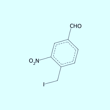 O=Cc1ccc(CI)c([N+](=O)[O-])c1